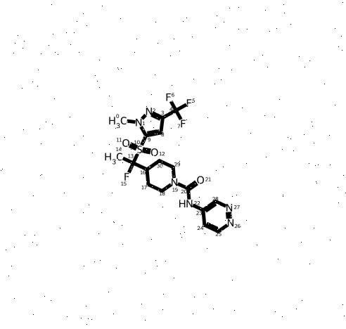 Cn1nc(C(F)(F)F)cc1S(=O)(=O)C(C)(F)C1CCN(C(=O)Nc2ccnnc2)CC1